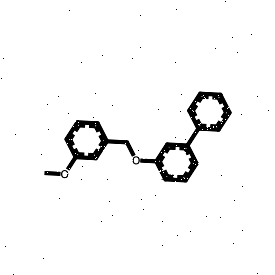 COc1cccc(COc2[c]ccc(-c3ccccc3)c2)c1